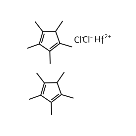 CC1=C(C)C(C)C(C)=C1C.CC1=C(C)C(C)C(C)=C1C.[Cl-].[Cl-].[Hf+2]